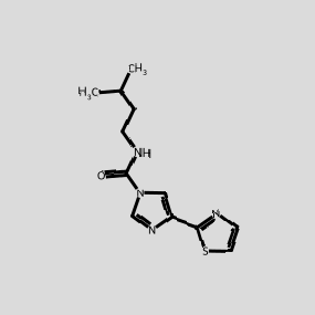 CC(C)CCNC(=O)n1cnc(-c2nccs2)c1